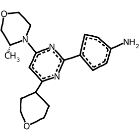 C[C@@H]1COCCN1c1cc(C2CCOCC2)nc(-c2ccc(N)cc2)n1